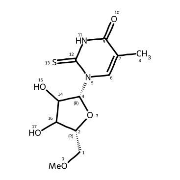 COC[C@H]1O[C@@H](n2cc(C)c(=O)[nH]c2=S)C(O)C1O